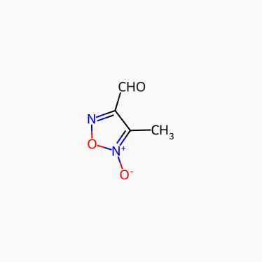 Cc1c(C=O)no[n+]1[O-]